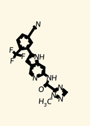 Cn1ncnc1C(=O)Nc1cc2[nH]c(-c3cc(C#N)ccc3C(F)(F)F)cc2cn1